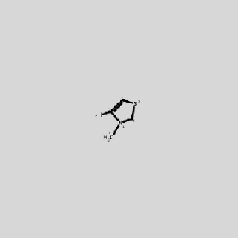 CN1CSC=C1I